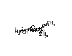 CCC1(CC)C(=O)N(CCOCCOC)c2cc3c4c([nH]c3cc21)-c1nn(COCC[Si](C)(C)C)cc1CCC4